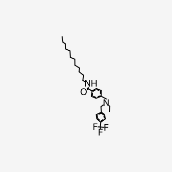 CCCCCCCCCCCCNC(=O)c1ccc(CN(CC)Cc2ccc(C(F)(F)F)cc2)cc1